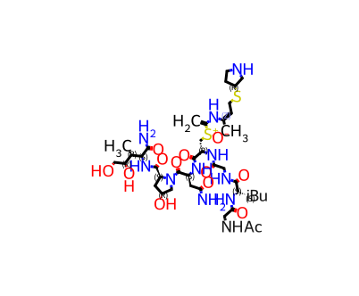 C=C(N/C(C)=C\CS[C@@H]1CCNC1)[S+]([O-])C[C@H](NC(=O)CNC(=O)[C@@H](NC(=O)CNC(C)=O)[C@@H](C)CC)C(=O)N[C@@H](CC(N)=O)C(=O)N1C[C@H](O)C[C@H]1C(=O)N[C@H](C(N)=O)[C@@H](C)[C@@H](O)CO